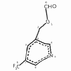 O=COCc1cncc(C(F)(F)F)c1